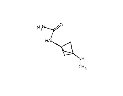 CNC12CC(NC(N)=O)(C1)C2